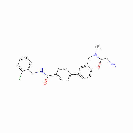 CN(Cc1cccc(-c2ccc(C(=O)NCc3ccccc3F)cc2)c1)C(=O)CN